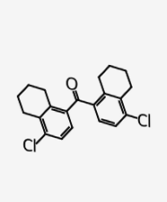 O=C(c1ccc(Cl)c2c1CCCC2)c1ccc(Cl)c2c1CCCC2